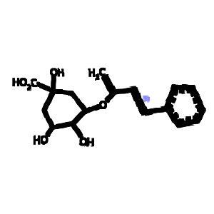 C=C(/C=C/c1ccccc1)OC1CC(O)(C(=O)O)CC(O)C1O